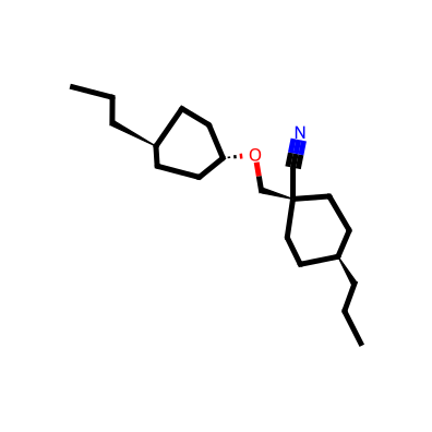 CCC[C@H]1CC[C@H](OC[C@]2(C#N)CC[C@H](CCC)CC2)CC1